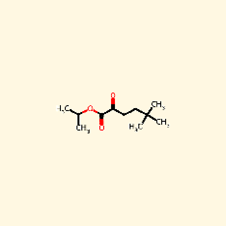 CC(C)OC(=O)C(=O)CCC(C)(C)C